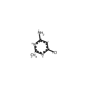 C.Nc1cc(Cl)ncn1